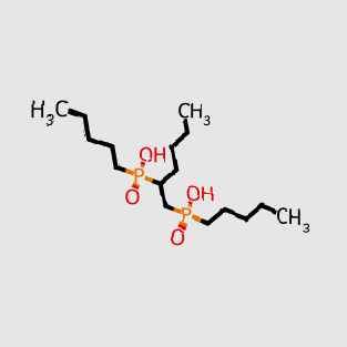 CCCCCP(=O)(O)CC(CCCC)P(=O)(O)CCCCC